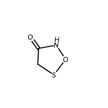 O=C1CSON1